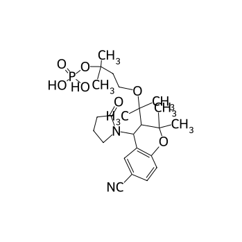 CC(C)(CCOC(C)(C)C1C(N2CCCC2=O)c2cc(C#N)ccc2OC1(C)C)OP(=O)(O)O